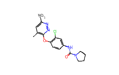 Cc1cc([N+](=O)[O-])nnc1Oc1ccc(NC(=O)N2CCCC2)cc1Cl